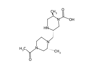 CC(=O)N1CCN(C[C@H]2CN(C(=O)O)[C@H](C)CN2)[C@H](C)C1